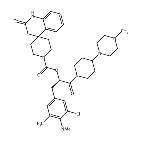 CNc1c(Cl)cc(C[C@@H](OC(=O)N2CCC3(CC2)CC(=O)Nc2ccccc23)C(=O)N2CCC(N3CCN(C)CC3)CC2)cc1C(F)(F)F